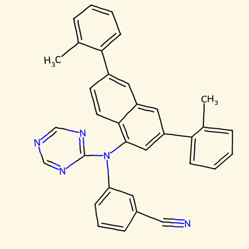 Cc1ccccc1-c1ccc2c(N(c3cccc(C#N)c3)c3ncncn3)cc(-c3ccccc3C)cc2c1